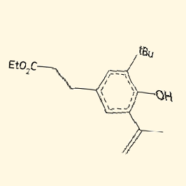 C=C(C)c1cc(CCC(=O)OCC)cc(C(C)(C)C)c1O